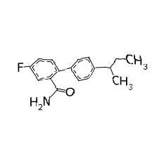 CCC(C)c1ccc(-c2ccc(F)cc2C(N)=O)cc1